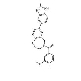 COc1cc(C(=O)N2CCOc3ccc(-c4ccc5[nH]c(C)nc5c4)cc3C2)ccc1C